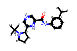 CC(C)c1cccc(NC(=O)c2cncc(C3CCCN3C(C)(C)C)n2)c1